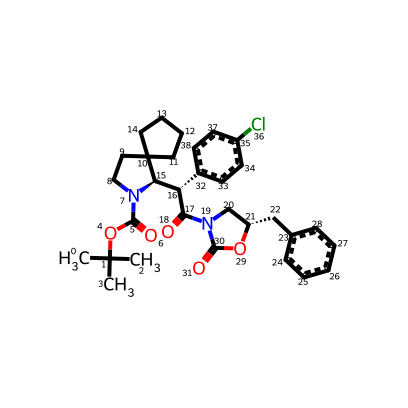 CC(C)(C)OC(=O)N1CCC2(CCCC2)[C@H]1[C@@H](C(=O)N1C[C@H](Cc2ccccc2)OC1=O)c1ccc(Cl)cc1